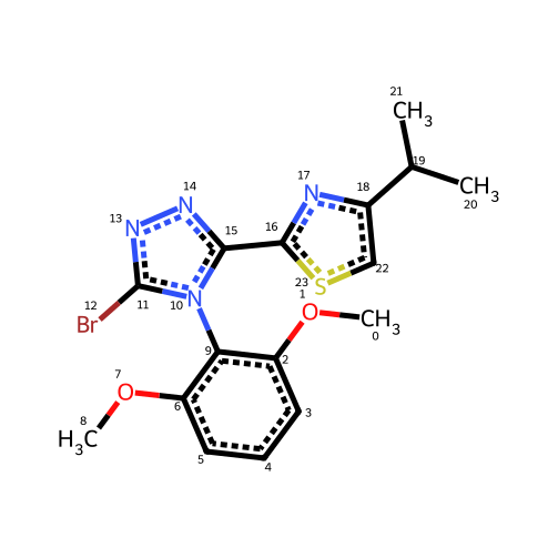 COc1cccc(OC)c1-n1c(Br)nnc1-c1nc(C(C)C)cs1